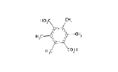 Cc1c(C)c(C(=O)O)c(C)c(C)c1C(=O)O